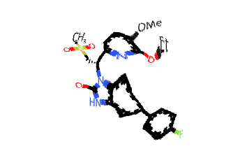 CCOc1nc([C@@H](CS(C)(=O)=O)n2c(=O)[nH]c3cc(-c4ccc(F)cc4)ccc32)ccc1OC